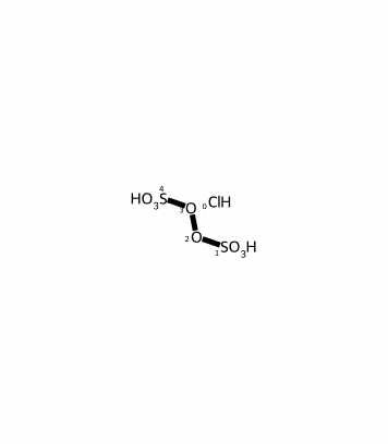 Cl.O=S(=O)(O)OOS(=O)(=O)O